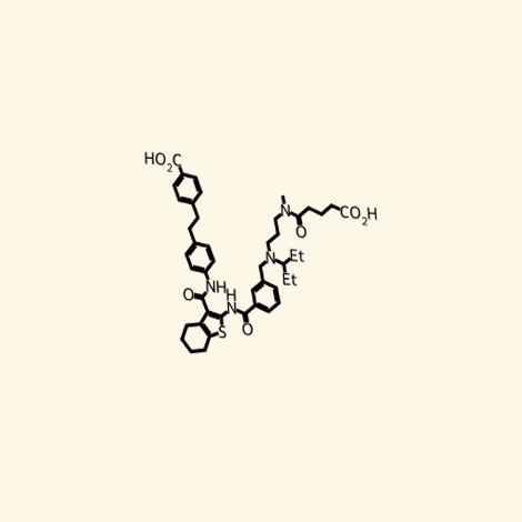 CCC(CC)N(CCCN(C)C(=O)CCCC(=O)O)Cc1cccc(C(=O)Nc2sc3c(c2C(=O)Nc2ccc(CCc4ccc(C(=O)O)cc4)cc2)CCCC3)c1